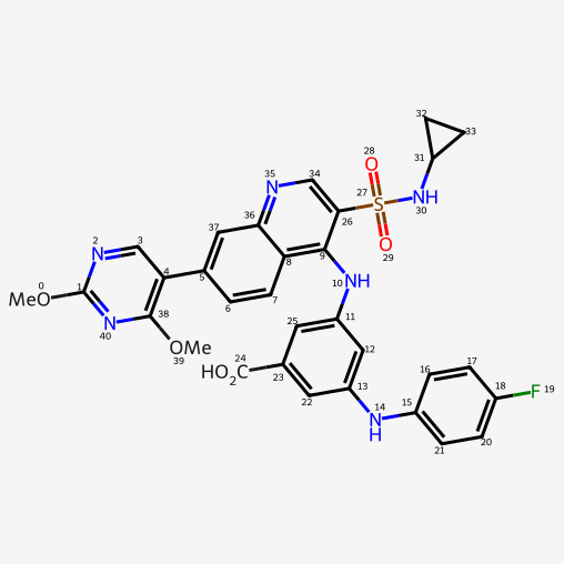 COc1ncc(-c2ccc3c(Nc4cc(Nc5ccc(F)cc5)cc(C(=O)O)c4)c(S(=O)(=O)NC4CC4)cnc3c2)c(OC)n1